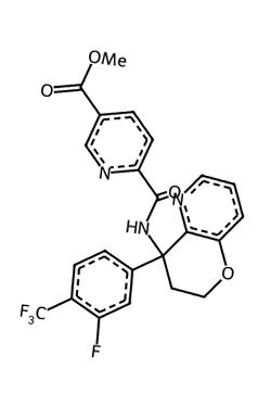 COC(=O)c1ccc(C(=O)NC2(c3ccc(C(F)(F)F)c(F)c3)CCOc3cccnc32)nc1